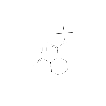 CC(C)(C)OC(=O)N1CCNCC1C(N)=O